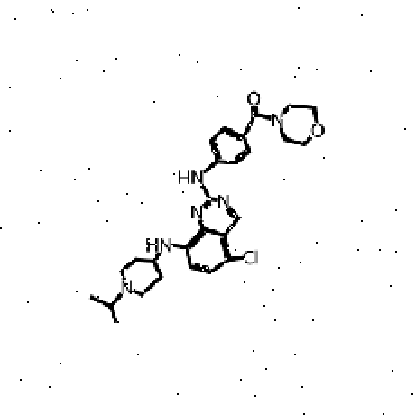 CC(C)N1CCC(Nc2ccc(Cl)c3cnc(Nc4ccc(C(=O)N5CCOCC5)cc4)nc23)CC1